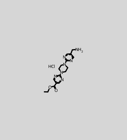 CCOC(=O)c1cnc(N2CCN(c3ncc(CN)cn3)CC2)nc1.Cl